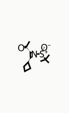 CC(=O)[C@H]1[C@@H](C2CCC2)N1[S@+]([O-])C(C)(C)C